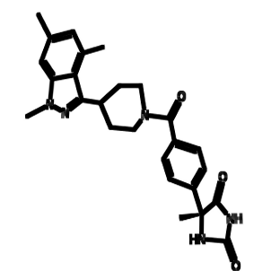 Cc1cc(C)c2c(C3CCN(C(=O)c4ccc([C@@]5(C)NC(=O)NC5=O)cc4)CC3)nn(C)c2c1